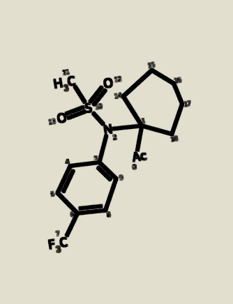 CC(=O)C1(N(c2ccc(C(F)(F)F)cc2)S(C)(=O)=O)CCCCC1